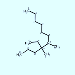 CCCCCCN(C)C(C)(CC)CCC